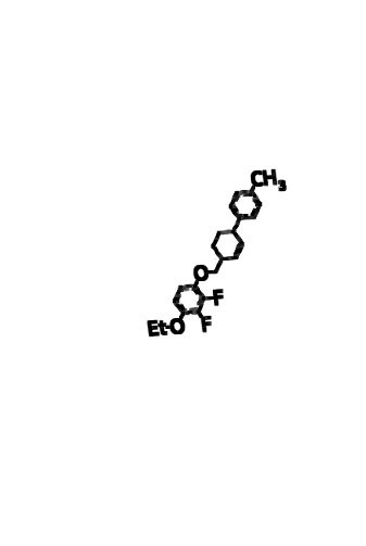 CCOc1ccc(OCC2C=CC(c3ccc(C)cc3)CC2)c(F)c1F